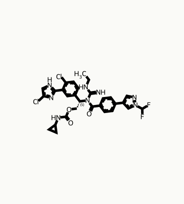 CCNC(=N)N(C(=O)c1ccc(-c2cnn(C(F)F)c2)cc1)[C@H](COC(=O)NC1CC1)c1ccc(Cl)c(-c2nc(Cl)c[nH]2)c1